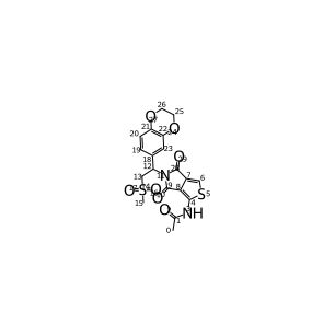 CC(=O)Nc1scc2c1C(=O)N(C(CS(C)(=O)=O)c1ccc3c(c1)OCCO3)C2=O